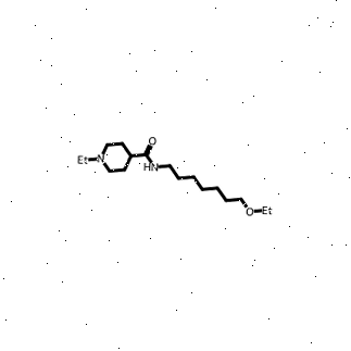 CCOCCCCCCCNC(=O)C1CCN(CC)CC1